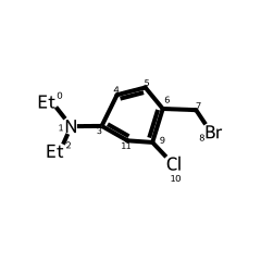 CCN(CC)c1ccc(CBr)c(Cl)c1